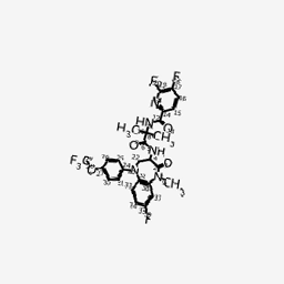 CN1C(=O)C(NC(=O)C(C)(C)NC(=O)c2ccc(F)c(F)n2)CN(c2ccc(OC(F)(F)F)cc2)c2ccc(F)cc21